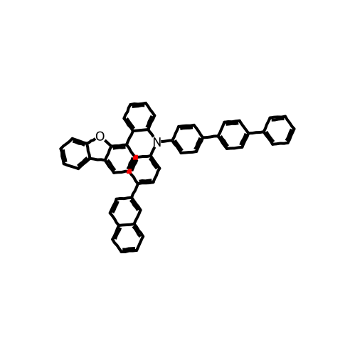 c1ccc(-c2ccc(-c3ccc(N(c4ccc(-c5ccc6ccccc6c5)cc4)c4ccccc4-c4cccc5c4oc4ccccc45)cc3)cc2)cc1